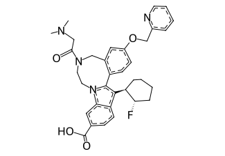 CN(C)CC(=O)N1CCn2c(c([C@H]3CCCC[C@@H]3F)c3ccc(C(=O)O)cc32)-c2ccc(OCc3ccccn3)cc2C1